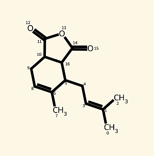 CC(C)=CCC1C(C)=CCC2C(=O)OC(=O)C21